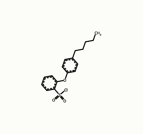 CCCCCc1ccc(Oc2ccccc2S(=O)(=O)Cl)cc1